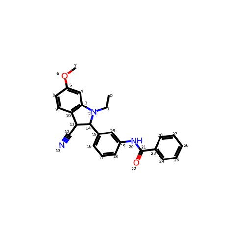 CCN1c2cc(OC)ccc2C(C#N)C1c1cccc(NC(=O)c2ccccc2)c1